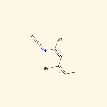 C=C=N/C(=C\C(=C/C)C(C)C)C(C)C